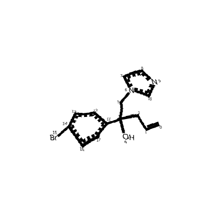 C=CCC(O)(Cn1ccnc1)c1ccc(Br)cc1